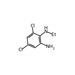 CCNc1c(N)cc(Cl)cc1Cl